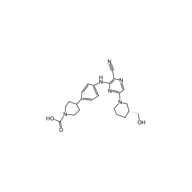 N#Cc1ncc(N2CCC[C@@H](CO)C2)nc1Nc1ccc(C2CCN(C(=O)O)CC2)cc1